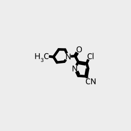 CC1CCN(C(=O)c2ncc(C#N)cc2Cl)CC1